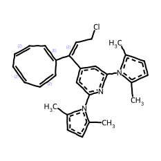 Cc1ccc(C)n1-c1cc(C(=C\CCl)/C2=C/C=C\C=C/C=C\2)cc(-n2c(C)ccc2C)n1